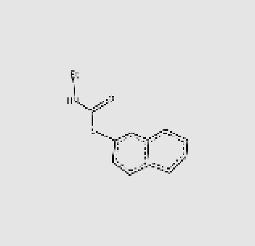 CCNC(=O)Sc1ccc2ccccc2c1